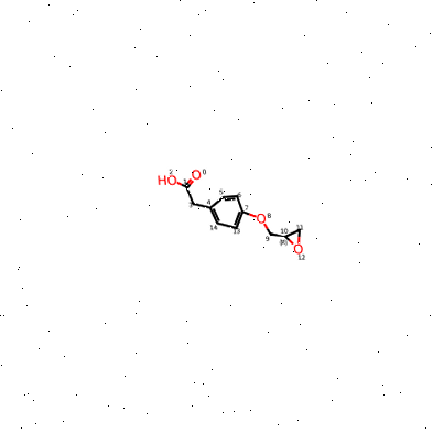 O=C(O)Cc1ccc(OC[C@H]2CO2)cc1